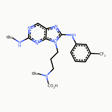 CC(C)(C)Nc1ncc2nc(Nc3cccc(C(F)(F)F)c3)n(CCCN(C(=O)O)C(C)(C)C)c2n1